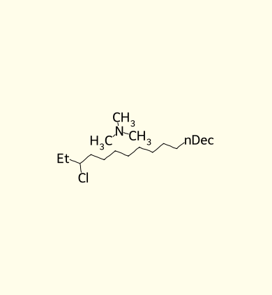 CCCCCCCCCCCCCCCCCCC(Cl)CC.CN(C)C